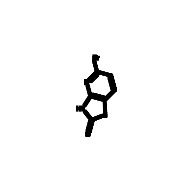 CC(C)c1ccc2sc(=O)[nH]c2n1